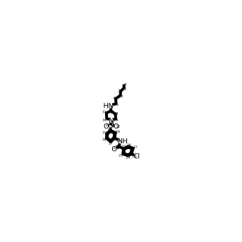 CCCCCCNC1CCN(S(=O)(=O)c2cccc(NC(=O)c3ccc(Cl)cc3)c2)CC1